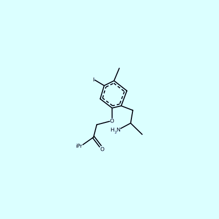 Cc1cc(CC(C)N)c(OCC(=O)C(C)C)cc1I